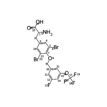 NC(Cc1cc(Br)c(OCc2cc(F)cc(OC(F)(F)F)c2)c(Br)c1)C(=O)O